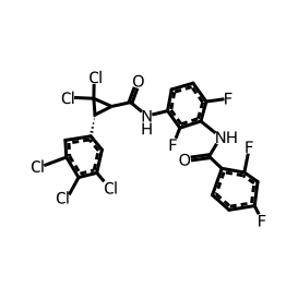 O=C(Nc1c(F)ccc(NC(=O)C2[C@H](c3cc(Cl)c(Cl)c(Cl)c3)C2(Cl)Cl)c1F)c1ccc(F)cc1F